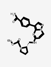 CC(C)(C)OC(=O)N1CCC[C@H]1CNc1ccn2ncc(-c3ccc(C(N)=O)cc3)c2n1